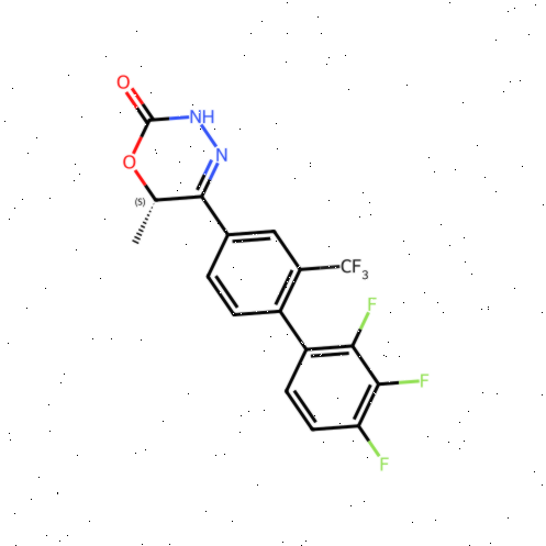 C[C@@H]1OC(=O)NN=C1c1ccc(-c2ccc(F)c(F)c2F)c(C(F)(F)F)c1